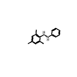 Cc1cc(C)c(NNc2ccccc2)c(C)c1